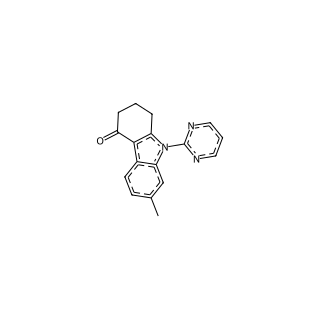 Cc1ccc2c3c(n(-c4ncccn4)c2c1)CCCC3=O